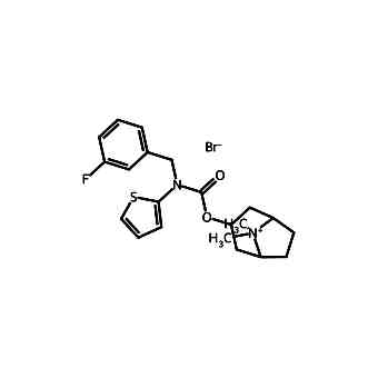 C[N+]1(C)C2CCC1CC(OC(=O)N(Cc1cccc(F)c1)c1cccs1)C2.[Br-]